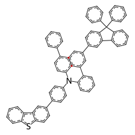 c1ccc(-c2ccc(N(c3ccc(-c4ccc5sc6ccccc6c5c4)cc3)c3ccccc3-c3cccc(-c4ccc5c(c4)-c4ccccc4C5(c4ccccc4)c4ccccc4)c3)cc2)cc1